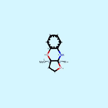 CO[C@@]12CCO[C@@H]1Nc1ccccc1O2